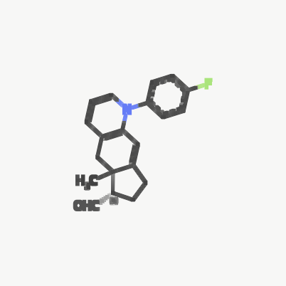 CC12CC3=C(C=C1CC[C@@H]2C=O)N(c1ccc(F)cc1)C=C=C3